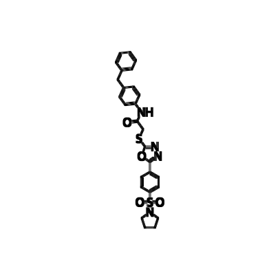 O=C(CSc1nnc(-c2ccc(S(=O)(=O)N3CCCC3)cc2)o1)Nc1ccc(Cc2ccccc2)cc1